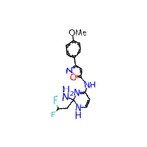 COc1ccc(-c2cc(NC3=NC(N)(CC(F)F)NC=C3)on2)cc1